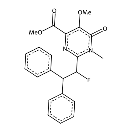 COC(=O)c1nc(C(F)C(c2ccccc2)c2ccccc2)n(C)c(=O)c1OC